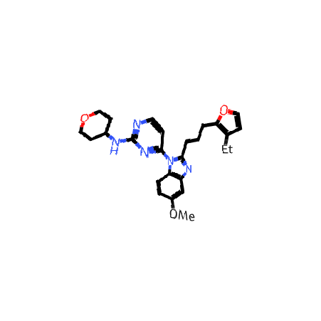 CCc1ccoc1CCCc1nc2c(n1-c1ccnc(NC3CCOCC3)n1)CCC(OC)=C2